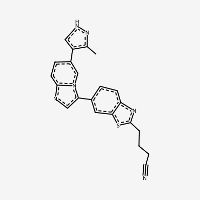 Cc1n[nH]cc1-c1ccc2ncc(-c3ccc4nc(CCCC#N)sc4c3)n2c1